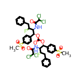 CS(=O)(=O)c1ccc([C@@H](OC(=O)O[C@H](c2ccc(S(C)(=O)=O)cc2)[C@H](NC(=O)C(Cl)Cl)C(F)Cc2ccccc2)[C@H](NC(=O)C(Cl)Cl)C(F)Cc2ccccc2)cc1